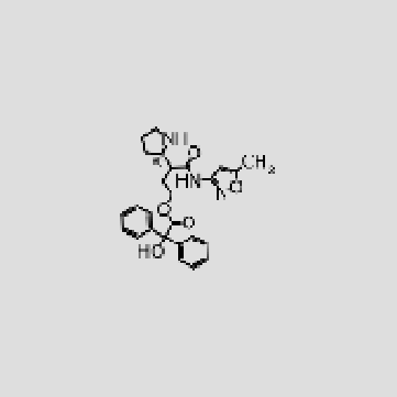 Cc1cc(NC(=O)C(CCOC(=O)C(O)(c2ccccc2)c2ccccc2)[C@H]2CCCN2)no1